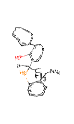 CCC(C)(Pc1ccccc1CNC)c1cccc(-c2ccccc2)c1O